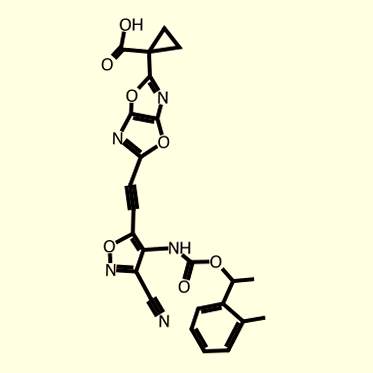 Cc1ccccc1C(C)OC(=O)Nc1c(C#N)noc1C#Cc1nc2oc(C3(C(=O)O)CC3)nc2o1